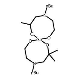 CCCCN1CC[O][Sn]2([O]CCN(CCCC)CC(C)(C)[O]2)[O]C(C)C1